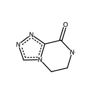 O=C1[N]CCn2cnnc21